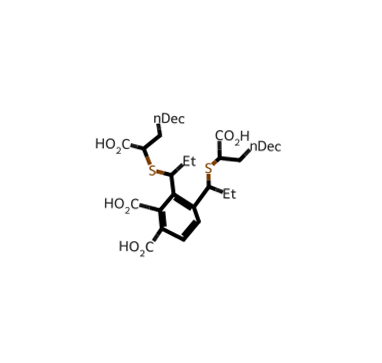 CCCCCCCCCCCC(SC(CC)c1ccc(C(=O)O)c(C(=O)O)c1C(CC)SC(CCCCCCCCCCC)C(=O)O)C(=O)O